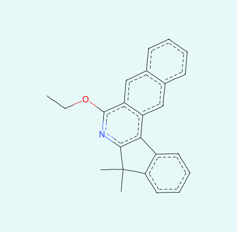 CCOc1nc2c(c3cc4ccccc4cc13)-c1ccccc1C2(C)C